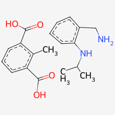 CC(C)Nc1ccccc1CN.Cc1c(C(=O)O)cccc1C(=O)O